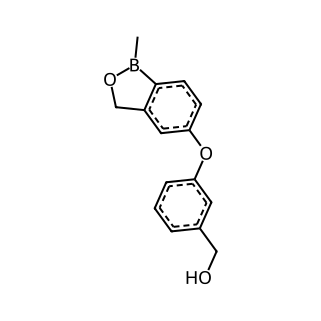 CB1OCc2cc(Oc3cccc(CO)c3)ccc21